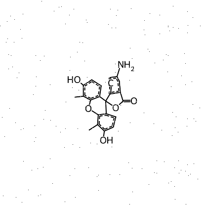 Cc1c(O)ccc2c1Oc1c(ccc(O)c1C)C21OC(=O)c2cc(N)ccc21